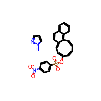 O=[N+]([O-])c1ccc(S(=O)(=O)OC2=CC=c3ccc4c(c3C=CC=C2)CC=CC=4)cc1.c1cn[nH]c1